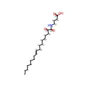 CCCCCCCCC=CCCCCCCCC(=O)C(=O)NCCCC(=O)O